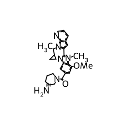 COc1cc(C(=O)N2CCC[C@@H](N)C2)cc2nc(-c3cc4cccnc4n3C(C)C3CC3)n(C)c12